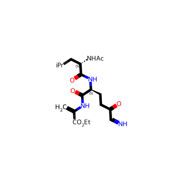 C=C(NC(=O)[C@H](CCC(=O)C=N)NC(=O)[C@H](CC(C)C)NC(C)=O)C(=O)OCC